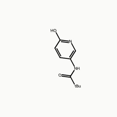 CC(C)(C)C(=O)Nc1ccc(O)nc1